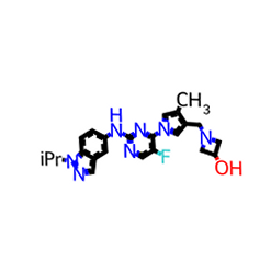 Cc1cn(-c2nc(Nc3ccc4c(cnn4C(C)C)c3)ncc2F)cc1CN1CC(O)C1